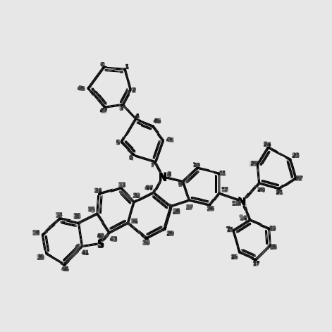 c1ccc(-c2ccc(-n3c4ccc(N(c5ccccc5)c5ccccc5)cc4c4ccc5c(ccc6c7ccccc7sc65)c43)cc2)cc1